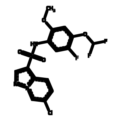 COc1cc(OC(F)F)c(F)cc1NS(=O)(=O)c1cnn2cc(Cl)ccc12